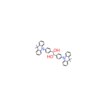 CC1(C)c2ccccc2N(c2ccc(C(O)C(O)c3ccc(N4c5ccccc5C(C)(C)c5ccccc54)cc3)cc2)c2ccccc21